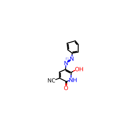 N#Cc1cc(/N=N/c2ccccc2)c(O)[nH]c1=O